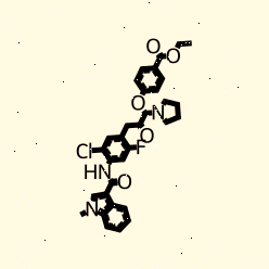 CCOC(=O)c1ccc(OC(C(=O)Cc2cc(Cl)c(NC(=O)c3cn(C)c4ccccc34)cc2F)N2CCCC2)cc1